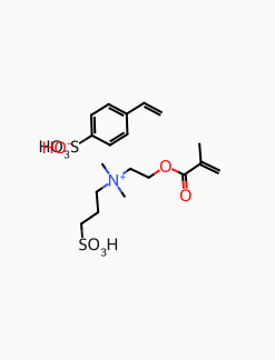 C=C(C)C(=O)OCC[N+](C)(C)CCCS(=O)(=O)O.C=Cc1ccc(S(=O)(=O)O)cc1.[OH-]